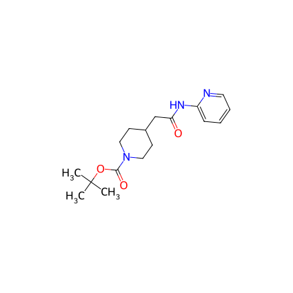 CC(C)(C)OC(=O)N1CCC(CC(=O)Nc2ccccn2)CC1